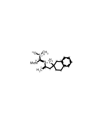 C=C(CC1(C)CCc2ccccc2C1)/N=C(\NC)[S+](C)[O-]